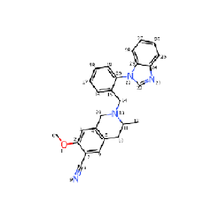 COc1cc2c(cc1C#N)CC(C)N(Cc1ccccc1-n1cnc3ccccc31)C2